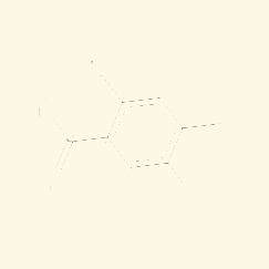 Cc1cc(C(=O)O)c(Cl)cc1F